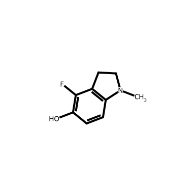 CN1CCc2c1ccc(O)c2F